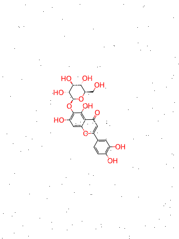 O=c1cc(-c2ccc(O)c(O)c2)oc2cc(O)c(O[C@@H]3O[C@H](CO)[C@@H](O)[C@H](O)[C@H]3O)c(O)c12